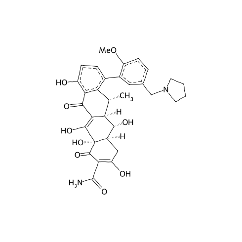 COc1ccc(CN2CCCC2)cc1-c1ccc(O)c2c1[C@H](C)[C@@H]1C(=C(O)[C@]3(O)C(=O)C(C(N)=O)=C(O)C[C@@H]3[C@H]1O)C2=O